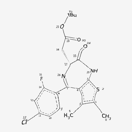 Cc1sc2c(c1C)C(c1ccc(Cl)cc1F)=N[C@H](CC(=O)OC(C)(C)C)C(=O)N2